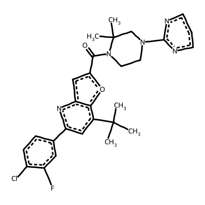 CC(C)(C)c1cc(-c2ccc(Cl)c(F)c2)nc2cc(C(=O)N3CCN(c4ncccn4)CC3(C)C)oc12